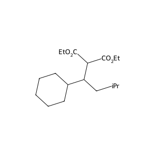 CCOC(=O)C(C(=O)OCC)C(CC(C)C)C1CCCCC1